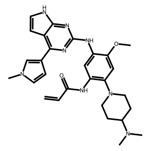 C=CC(=O)Nc1cc(Nc2nc(-c3ccn(C)c3)c3cc[nH]c3n2)c(OC)cc1N1CCC(N(C)C)CC1